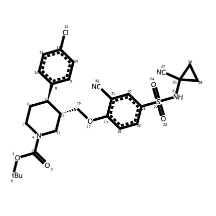 CC(C)(C)OC(=O)N1CC[C@@H](c2ccc(Cl)cc2)[C@H](COc2ccc(S(=O)(=O)NC3(C#N)CC3)cc2C#N)C1